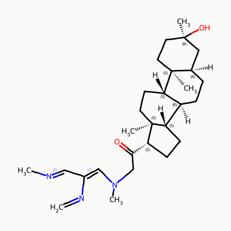 C=NC(=C\N(C)CC(=O)[C@H]1CC[C@H]2[C@@H]3CC[C@@H]4C[C@](C)(O)CC[C@]4(C)[C@H]3CC[C@]12C)/C=N/C